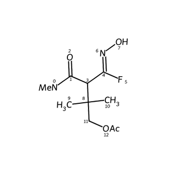 CNC(=O)C(/C(F)=N/O)C(C)(C)COC(C)=O